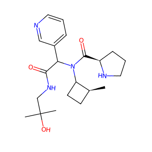 C[C@H]1CCC1N(C(=O)[C@H]1CCCN1)C(C(=O)NCC(C)(C)O)c1cccnc1